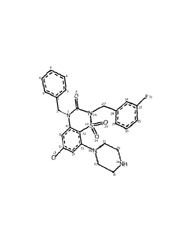 O=C1N(Cc2ccccc2)c2cc(Cl)cc(N3CCNCC3)c2S(=O)(=O)N1Cc1cccc(F)c1